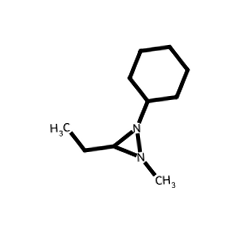 CCC1N(C)N1C1CCCCC1